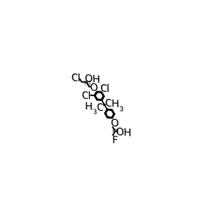 CC(C)(c1ccc(OC[C@@H](O)CF)cc1)c1cc(Cl)c(OC[C@@H](O)CCl)c(Cl)c1